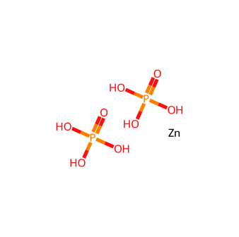 O=P(O)(O)O.O=P(O)(O)O.[Zn]